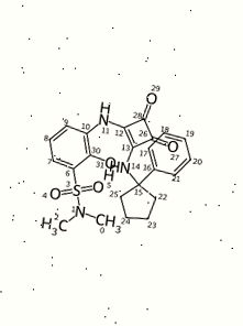 CN(C)S(=O)(=O)c1cccc(Nc2c(NC3(c4ccccc4)CCCC3)c(=O)c2=O)c1O